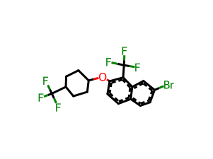 FC(F)(F)c1c(OC2CCC(C(F)(F)F)CC2)ccc2ccc(Br)cc12